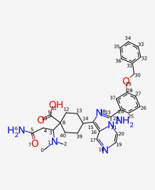 CN(C)C(CC(N)=O)C1(C(=O)O)CCC(C2=C3C=NC=C[N+]3(N)C(c3cccc(OCc4ccccc4)c3)=N2)CC1